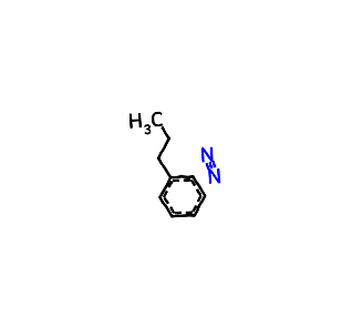 CCCc1ccccc1.N#N